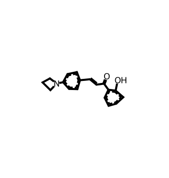 O=C(C=Cc1ccc(N2CCC2)cc1)c1ccccc1O